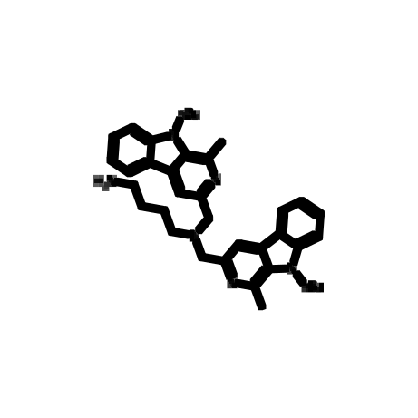 CCCCn1c2ccccc2c2cc(CN(CCCCN)Cc3cc4c5ccccc5n(CCCC)c4c(C)n3)nc(C)c21